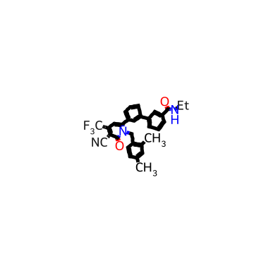 CCNC(=O)c1cccc(-c2cccc(-c3cc(C(F)(F)F)c(C#N)c(=O)n3Cc3ccc(C)cc3C)c2)c1